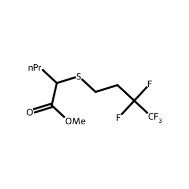 CCCC(SCCC(F)(F)C(F)(F)F)C(=O)OC